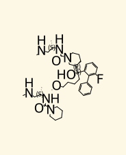 CNC[C@H](C)NC(=O)N1CCCCC1.CNC[C@H](C)NC(=O)N1CCC[C@@H]([C@@](O)(CCCCOC)c2cccc(F)c2-c2ccccc2)C1